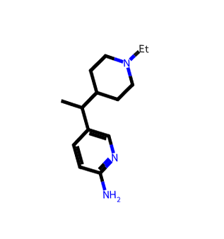 CCN1CCC(C(C)c2ccc(N)nc2)CC1